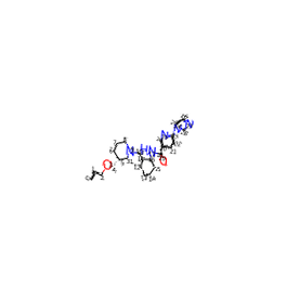 C=CCOC[C@@H]1CCCN(C[C@@H]2CCCC[C@H]2NC(=O)c2ccc(-n3ccnc3)nc2)C1